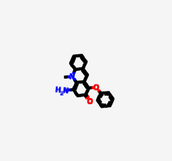 CN1C2=C(N)CC(=O)C(Oc3ccccc3)=C2C=C2C=CC=CC21